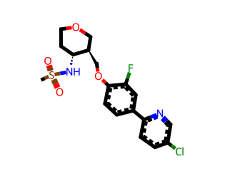 CS(=O)(=O)N[C@@H]1CCOC[C@H]1COc1ccc(-c2ccc(Cl)cn2)cc1F